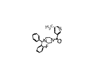 Cc1cncc(C(=O)N2CCN(C(c3ccccc3)c3ccccc3F)CC2)c1